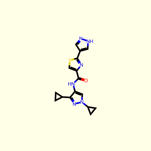 O=C(Nc1cn(C2CC2)nc1C1CC1)c1csc(-c2cn[nH]c2)n1